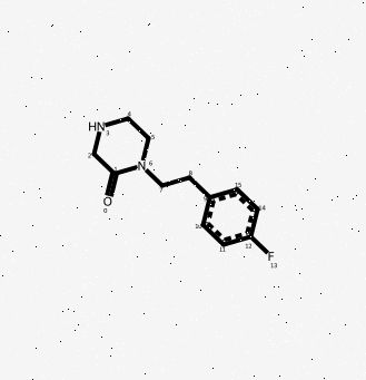 O=C1CNCCN1CCc1ccc(F)cc1